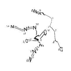 CCCCCCCCCCCCCCl.[N-]=[N+]=NS(=O)(=O)N=[N+]=[N-]